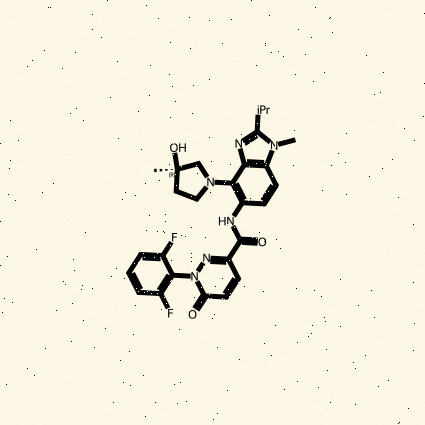 CC(C)c1nc2c(N3CC[C@@](C)(O)C3)c(NC(=O)c3ccc(=O)n(-c4c(F)cccc4F)n3)ccc2n1C